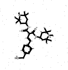 CN1C(C)(C)CC(OC(=O)C(C=Cc2ccc(CO)cc2)C(=O)OC2CC(C)(C)N(C)C(C)(C)C2)CC1(C)C